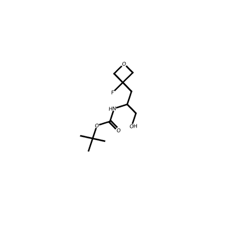 CC(C)(C)OC(=O)NC(CO)CC1(F)COC1